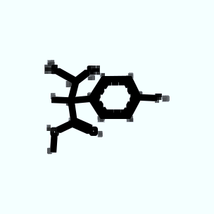 COC(=O)C(C)(c1ccc(F)cc1)C(S)S